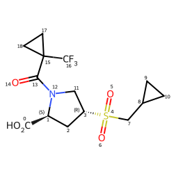 O=C(O)[C@@H]1C[C@@H](S(=O)(=O)CC2CC2)CN1C(=O)C1(C(F)(F)F)CC1